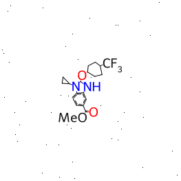 COC(=O)c1ccc2c(c1)NC(OC1CCC(C(F)(F)F)CC1)N2C1CC1